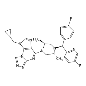 C[C@@H]1CN(c2nc3nncn3c3c2ncn3CC2CC2)[C@@H](C)CN1[C@@H](c1ccc(F)cc1)c1ccc(F)cn1